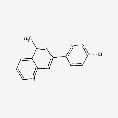 CCc1ccc(-c2cc(C)c3cccnc3c2)nc1